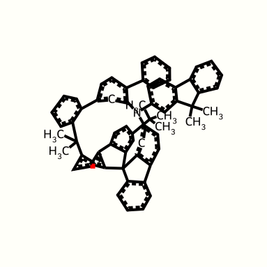 CC(C)(C)c1ccc2c(c1)C13c4ccccc4-c4ccc(cc41)N(c1ccc4c(c1)C(C)(C)c1ccccc1-4)c1cc(ccc1-c1ccccc1)-c1ccccc1C(C)(C)c1ccc-2c3c1